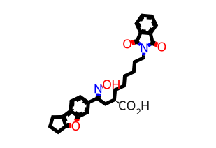 O=C(O)[C@@H](CCCCCCN1C(=O)c2ccccc2C1=O)CC(=NO)c1ccc2c3c(oc2c1)CCC3